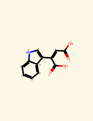 O=C(O)/C=C(\C(=O)O)c1c[nH]c2ccccc12